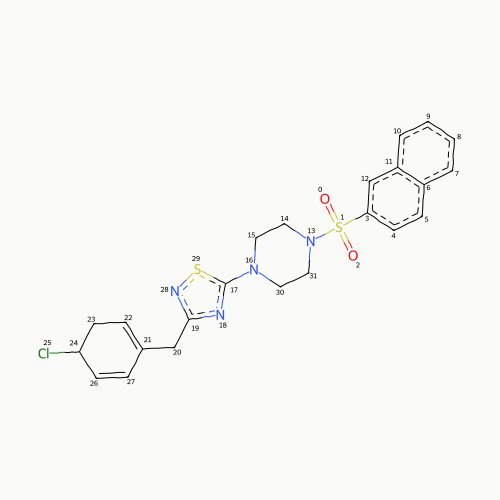 O=S(=O)(c1ccc2ccccc2c1)N1CCN(c2nc(CC3=CCC(Cl)C=C3)ns2)CC1